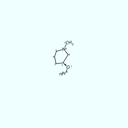 CCCO[C@H]1CCCN(C)C1